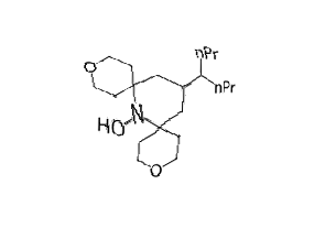 CCCC(CCC)C1CC2(CCOCC2)N(O)C2(CCOCC2)C1